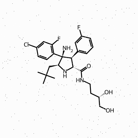 CC(C)(C)C[C@@H]1N[C@@H](C(=O)NCC[C@H](O)CO)[C@H](c2cccc(F)c2)[C@@]1(N)c1ccc(Cl)cc1F